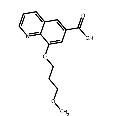 COCCCOc1cc(C(=O)O)cc2cccnc12